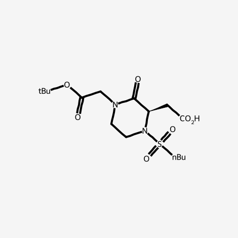 CCCCS(=O)(=O)N1CCN(CC(=O)OC(C)(C)C)C(=O)[C@H]1CC(=O)O